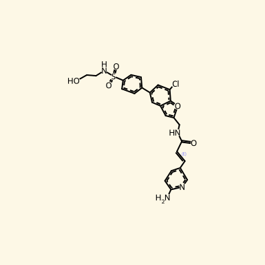 Nc1ccc(/C=C/C(=O)NCc2cc3cc(-c4ccc(S(=O)(=O)NCCO)cc4)cc(Cl)c3o2)cn1